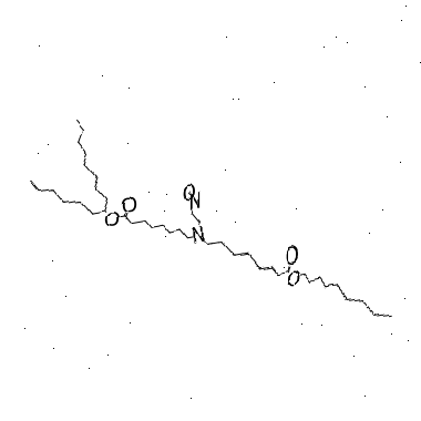 CCCCCCCCCOC(=O)CCCCCCCN(CCCCCCCC(=O)OC(CCCCCC)CCCCCCCC)CCN=O